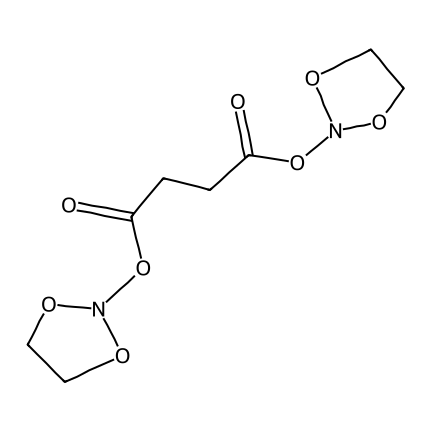 O=C(CCC(=O)ON1OCCO1)ON1OCCO1